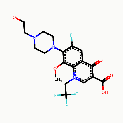 COc1c(N2CCN(CCO)CC2)c(F)cc2c(=O)c(C(=O)O)cn(CC(F)(F)F)c12